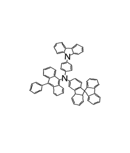 C1=CC2c3cc(N(c4ccc(-n5c6ccccc6c6ccccc65)cc4)c4c5ccccc5c(-c5ccccc5)c5ccccc45)ccc3C3(c4ccccc4-c4ccccc43)C2C=C1